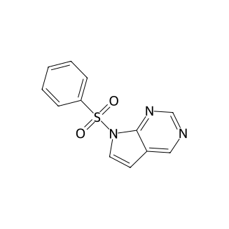 O=S(=O)(c1ccccc1)n1ccc2cncnc21